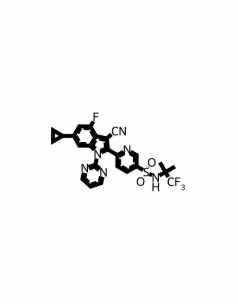 CC(C)(NS(=O)(=O)c1ccc(-c2c(C#N)c3c(F)cc(C4CC4)cc3n2-c2ncccn2)nc1)C(F)(F)F